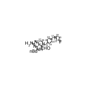 CCCCNc1nc(N)nc2c1C(C=O)N(Cc1ccc(CN3CCC(F)C3)cc1)C=C2